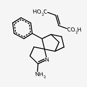 NC1=NC2(CC1)C1CCC(C1)C2c1ccccc1.O=C(O)C=CC(=O)O